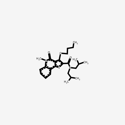 CCCCOc1c(C(=O)N(CC(C)C)CC(C)C)sc2c1c(=O)n(C)c1ccccc21